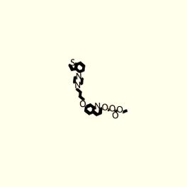 CCOC(=O)OCOc1ccc2ccc(OCCCCN3CCN(C4CC=Cc5sccc54)CC3)cc2n1